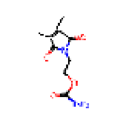 CC1=C(C)C(=O)N(CCOC(N)=O)C1=O